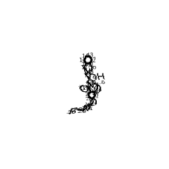 C[C@H]1CN(CC(O)CN2CCc3ccccc3C2)C(=O)c2ccc(OC3CN(CCF)C3)cc2O1